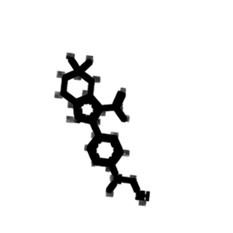 C=C(C)c1c(-c2ccc(N(C)CS)cc2)sc2c1CC(C)(C)CC2